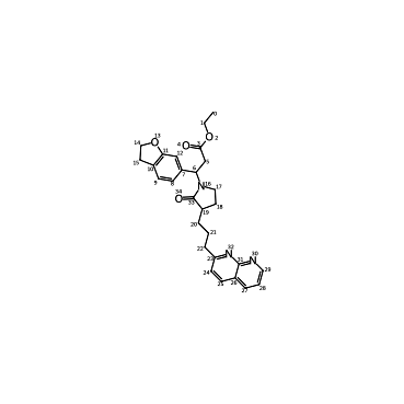 CCOC(=O)CC(c1ccc2c(c1)OCC2)N1CCC(CCCc2ccc3cccnc3n2)C1=O